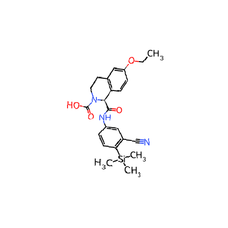 CCOc1ccc2c(c1)CCN(C(=O)O)[C@@H]2C(=O)Nc1ccc([Si](C)(C)C)c(C#N)c1